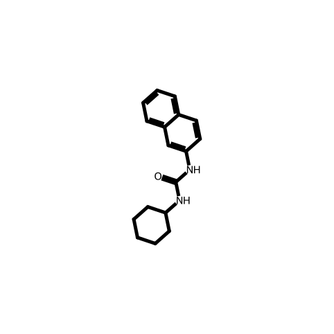 O=C(Nc1ccc2ccccc2c1)NC1CCCCC1